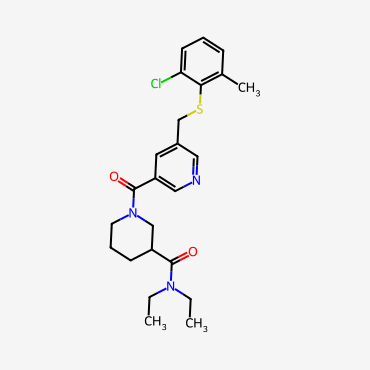 CCN(CC)C(=O)C1CCCN(C(=O)c2cncc(CSc3c(C)cccc3Cl)c2)C1